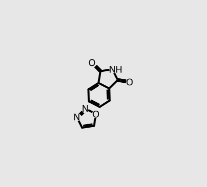 O=C1NC(=O)c2ccccc21.c1conn1